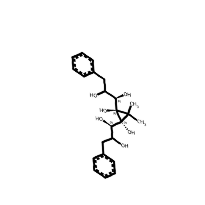 CC1(C)[C@@](O)([C@H](O)C(O)Cc2ccccc2)[C@]1(O)[C@H](O)C(O)Cc1ccccc1